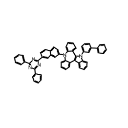 c1ccc(-c2cccc(-n3c4c(c5ccccc53)-c3ccccc3N(c3ccc5ccc(-c6nc(-c7ccccc7)nc(-c7ccccc7)n6)cc5c3)c3ccccc3-4)c2)cc1